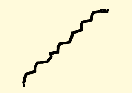 OCCCCCCCCCCCCCI